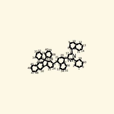 c1ccc(-c2nc(-c3cccc4ccccc34)cc(-c3ccc(-c4ccc5c(c4)C(c4ccccc4)(c4ccccc4)c4cc6ccccc6cc4-5)c4ccccc34)n2)cc1